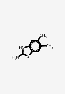 Cc1cc2c(cc1C)S[C](N)N2